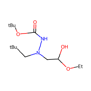 CCOC(O)CN(CC(C)(C)C)NC(=O)OC(C)(C)C